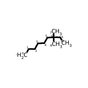 [CH2]CCCCCC(C)(C)CC